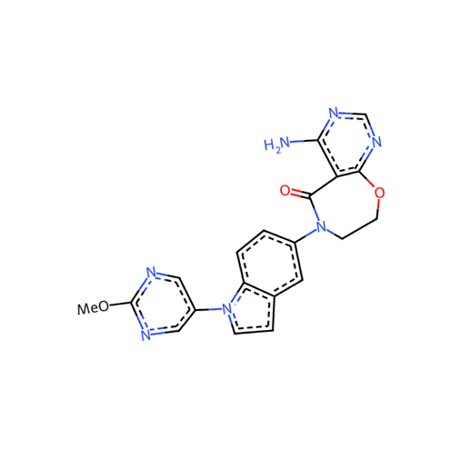 COc1ncc(-n2ccc3cc(N4CCOc5ncnc(N)c5C4=O)ccc32)cn1